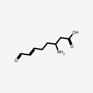 NC(CCC=C[C]=O)CC(=O)O